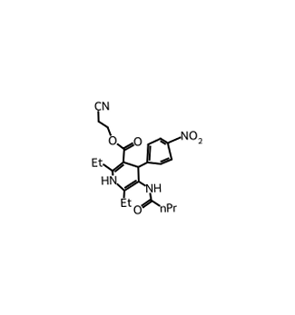 CCCC(=O)NC1=C(CC)NC(CC)=C(C(=O)OCCC#N)C1c1ccc([N+](=O)[O-])cc1